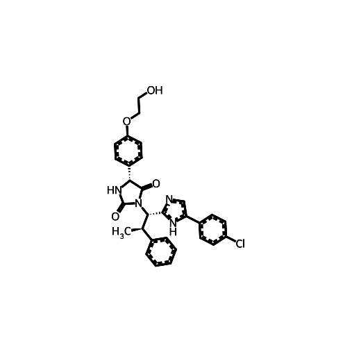 C[C@H](c1ccccc1)[C@@H](c1ncc(-c2ccc(Cl)cc2)[nH]1)N1C(=O)N[C@H](c2ccc(OCCO)cc2)C1=O